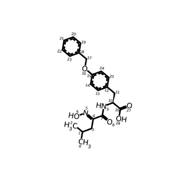 CC(C)CC(=NO)C(=O)N[C@@H](Cc1ccc(OCc2ccccc2)cc1)C(=O)O